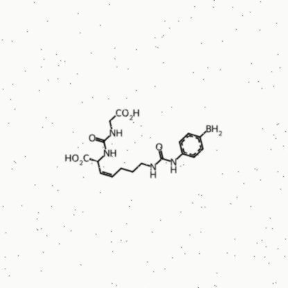 Bc1ccc(NC(=O)NCCC/C=C\[C@H](NC(=O)NCC(=O)O)C(=O)O)cc1